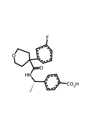 C[C@H](NC(=O)C1(c2cccc(F)c2)CCOCC1)c1ccc(C(=O)O)cc1